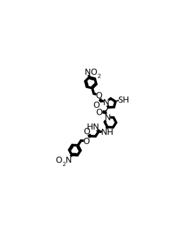 N=C(CC(=O)OCc1ccc([N+](=O)[O-])cc1)NC1CCCN(C(=O)[C@@H]2C[C@H](S)CN2C(=O)OCc2ccc([N+](=O)[O-])cc2)C1